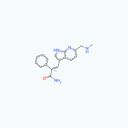 CNCc1ccc2c(/C=C(/C(N)=O)c3ccccc3)c[nH]c2n1